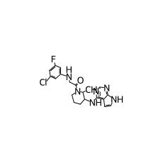 CC1C(Nc2ncnc3[nH]ccc23)CCCN1C(=O)CNc1cc(F)cc(Cl)c1